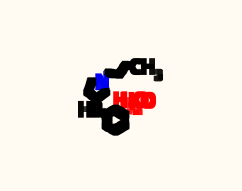 CCCCN1CCC(Bc2ccccc2)C1.O.O